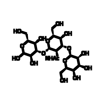 CC(=O)N[C@H]1[C@H](O[C@H]2[C@H](O)[C@@H](CO)OC(O)[C@@H]2O)O[C@H](CO)[C@@H](O)[C@@H]1O[C@@H]1O[C@H](CO)[C@H](O)[C@H](O)[C@H]1O